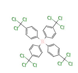 ClC(Cl)(Cl)c1ccc([B-](c2ccc(C(Cl)(Cl)Cl)cc2)(c2ccc(C(Cl)(Cl)Cl)cc2)c2ccc(C(Cl)(Cl)Cl)cc2)cc1